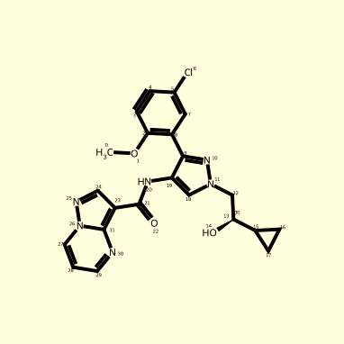 COc1c#cc(Cl)cc1-c1nn(C[C@H](O)C2CC2)cc1NC(=O)c1cnn2cccnc12